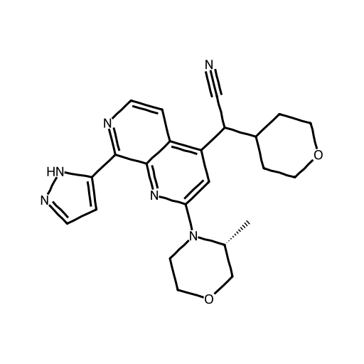 C[C@@H]1COCCN1c1cc(C(C#N)C2CCOCC2)c2ccnc(-c3ccn[nH]3)c2n1